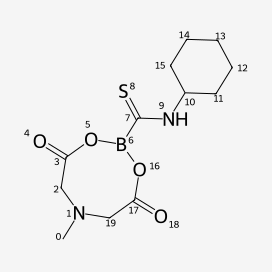 CN1CC(=O)OB(C(=S)NC2CCCCC2)OC(=O)C1